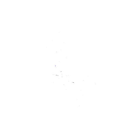 CC1(C)[C@H](C(=O)OC(c2ccccc2)c2ccccc2)N2C(=O)[C@@H](NC(=O)Cc3ccc(Cl)cc3Cl)[C@H]2[S@@+]1[O-]